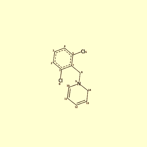 Clc1cccc(Cl)c1CN1C=CC=CC1